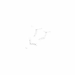 Nc1nc2cc(F)cc(Br)c2[nH]1